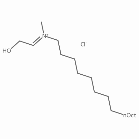 CCCCCCCCCCCCCCCC[N+](C)=CCO.[Cl-]